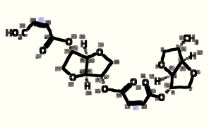 C[C@H]1CO[C@H]2[C@@H]1OC[C@@H]2OC(=O)/C=C\C(=O)O[C@H]1CO[C@H]2[C@@H]1OC[C@@H]2OC(=O)/C=C\C(=O)O